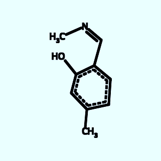 C/N=C\c1ccc(C)cc1O